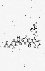 CCOC(=O)CCCn1cc(C(=O)c2cccc(CNc3ccc(CC(C)C)cc3)c2)c2ccccc21